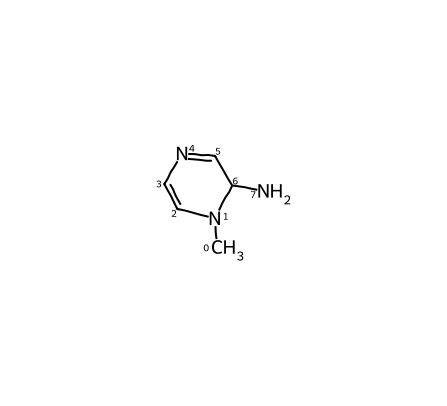 CN1C=CN=CC1N